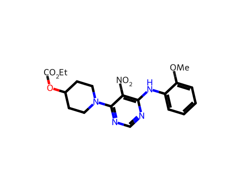 CCOC(=O)OC1CCN(c2ncnc(Nc3ccccc3OC)c2[N+](=O)[O-])CC1